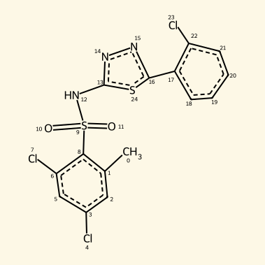 Cc1cc(Cl)cc(Cl)c1S(=O)(=O)Nc1nnc(-c2ccccc2Cl)s1